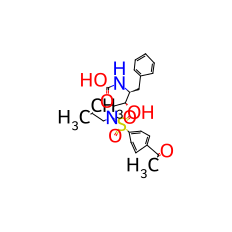 CC(=O)c1ccc(S(=O)(=O)N(CC(C)C)C[C@H](O)[C@H](Cc2ccccc2)NC(=O)O)cc1